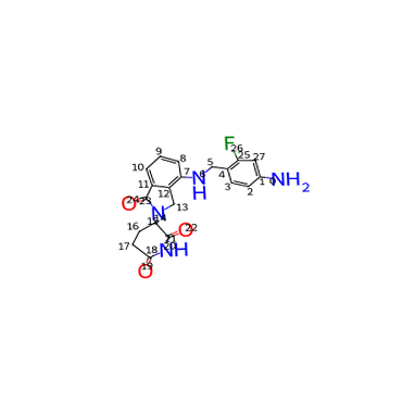 Nc1ccc(CNc2cccc3c2CN([C@@H]2CCC(=O)NC2=O)C3=O)c(F)c1